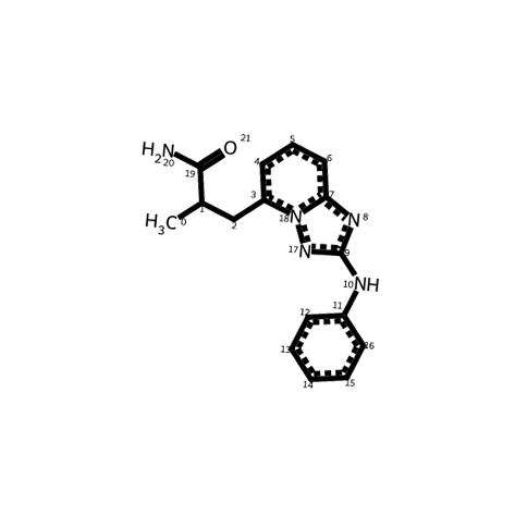 CC(Cc1cccc2nc(Nc3ccccc3)nn12)C(N)=O